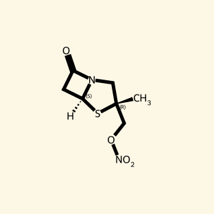 C[C@]1(CO[N+](=O)[O-])CN2C(=O)C[C@@H]2S1